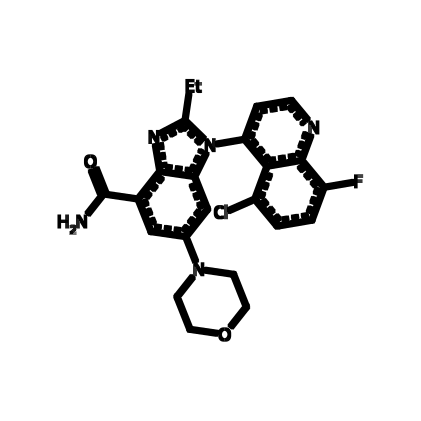 CCc1nc2c(C(N)=O)cc(N3CCOCC3)cc2n1-c1ccnc2c(F)ccc(Cl)c12